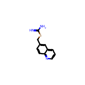 N=C(N)SCc1ccc2ncccc2c1